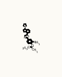 CC(C)Oc1ccc(C2=NCC(c3cccc4c3CCC4N3CCCC3)S2)cc1N